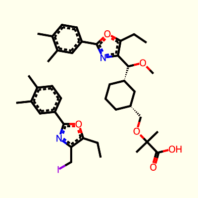 CCc1oc(-c2ccc(C)c(C)c2)nc1C(OC)[C@H]1CCC[C@@H](COC(C)(C)C(=O)O)C1.CCc1oc(-c2ccc(C)c(C)c2)nc1CI